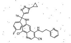 [2H]C(Nc1cc(Cl)c2ncc(C#N)c(NCCc3ccccn3)c2c1)(c1ccc(F)cc1)c1cn(C2CC2)nn1